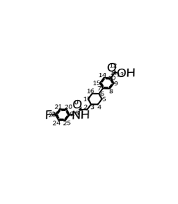 O=C(CC1CCC(c2ccc(C(=O)O)cc2)CC1)Nc1ccc(F)cc1